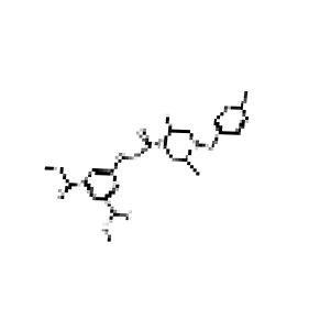 COC(=O)c1cc(OCC(=O)N2CC(C)N(Cc3ccc(F)cc3)CC2C)cc(C(=O)OC)c1